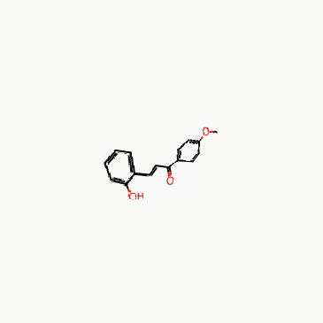 COc1ccc(C(=O)/C=C/c2ccccc2O)cc1